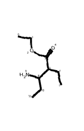 CCOC(=O)C(CC)C(N)CC